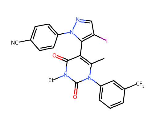 CCn1c(=O)c(-c2c(I)cnn2-c2ccc(C#N)cc2)c(C)n(-c2cccc(C(F)(F)F)c2)c1=O